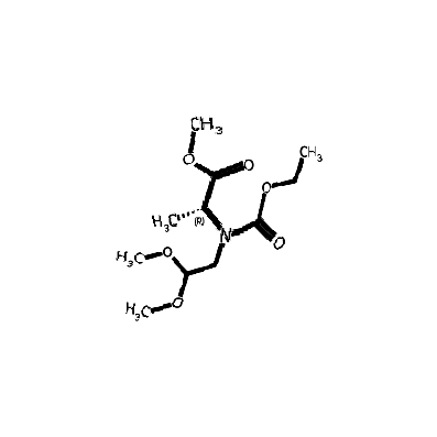 CCOC(=O)N(CC(OC)OC)[C@H](C)C(=O)OC